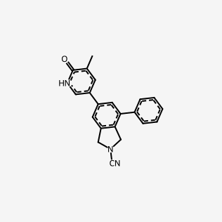 Cc1cc(-c2cc3c(c(-c4ccccc4)c2)CN(C#N)C3)c[nH]c1=O